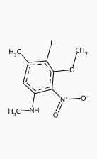 CNc1cc(C)c(I)c(OC)c1[N+](=O)[O-]